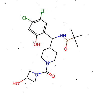 CC(C)(C)[S+]([O-])NC(c1cc(Cl)c(Cl)cc1O)C1CCN(C(=O)N2CC(O)C2)CC1